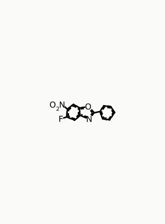 O=[N+]([O-])c1cc2oc(-c3ccccc3)nc2cc1F